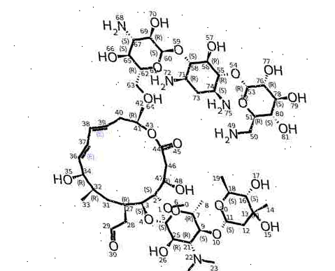 CO[C@@H]1[C@@H](O[C@@H]2O[C@H](C)[C@@H](O[C@H]3C[C@@](C)(O)[C@@H](O)[C@H](C)O3)[C@H](N(C)C)[C@H]2O)[C@@H](CC=O)C[C@@H](C)[C@@H](O)/C=C/C=C/C[C@@H](C)OC(=O)C[C@H]1O.NC[C@H]1O[C@H](O[C@H]2[C@H](O)[C@@H](O[C@H]3O[C@H](CO)[C@@H](O)[C@H](N)[C@H]3O)[C@H](N)C[C@@H]2N)[C@H](O)[C@@H](O)[C@@H]1O